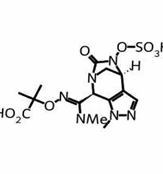 CN/C(=N\OC(C)(C)C(=O)O)[C@@H]1c2c(cnn2C)[C@H]2CN1C(=O)N2OS(=O)(=O)O